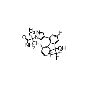 CC(C)(C(N)=O)n1cc(-c2cc(F)cc3c2-c2ccccc2C3(O)C(F)(F)F)cn1